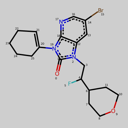 O=c1n(CC(F)C2CCOCC2)c2cc(Br)cnc2n1C1=CCCCC1